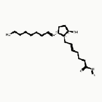 CC(C)NC(=O)CCCC=CC[C@@H]1[C@H](O)CC[C@H]1C=CCCCCCCO